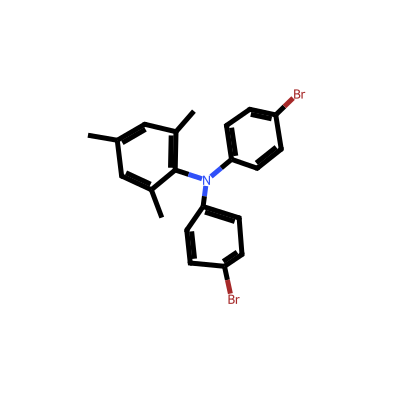 Cc1cc(C)c(N(c2ccc(Br)cc2)c2ccc(Br)cc2)c(C)c1